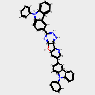 c1ccc(-n2c3ccccc3c3cc(-c4cnc5c(c4)oc4nc(-c6ccc7c(c6)c6ccccc6n7-c6ccccc6)nnc45)ccc32)cc1